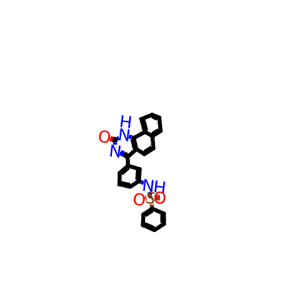 O=c1nc(-c2cccc(NS(=O)(=O)c3ccccc3)c2)c2ccc3ccccc3c2[nH]1